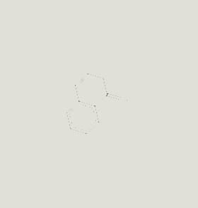 [Se]=C1CC=Cc2ccccc21